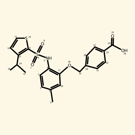 Cc1ccc(NS(=O)(=O)c2sccc2C(C)C)c(OCc2ccc(C(=O)O)cc2)c1